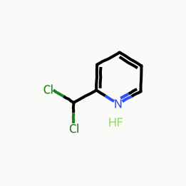 ClC(Cl)c1ccccn1.F